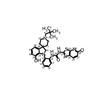 CC(C)(C)CN1CCC2(CC1)CN(c1ccccc1NC(=O)Nc1nc3ccc(Cl)nc3s1)c1c(O)cccc12